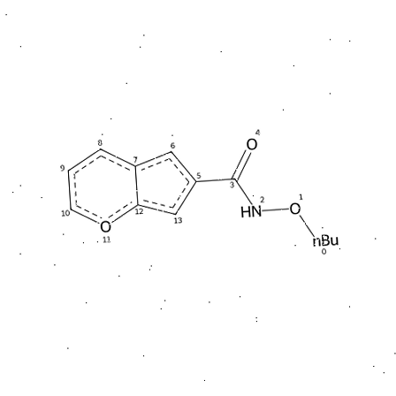 CCCCONC(=O)c1cc2cccoc-2c1